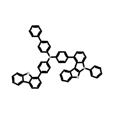 c1ccc(-c2ccc(N(c3ccc(-c4cccc5c4oc4ccccc45)cc3)c3ccc(-c4cccc5c4c4c6ccccc6oc4n5-c4ccccc4)cc3)cc2)cc1